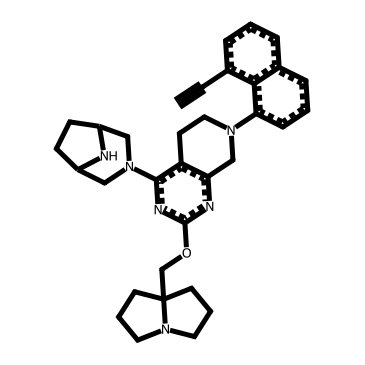 C#Cc1cccc2cccc(N3CCc4c(nc(OCC56CCCN5CCC6)nc4N4CC5CCC(C4)N5)C3)c12